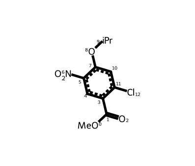 COC(=O)c1cc([N+](=O)[O-])c(OC(C)C)cc1Cl